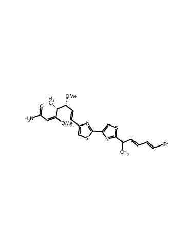 CO/C(=C/C(N)=O)[C@H](C)[C@@H](/C=C/c1csc(-c2csc(C(C)/C=C/C=C/C(C)C)n2)n1)OC